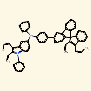 C=CC1=C(/C=C\C)c2ccccc2C12c1ccccc1-c1cc(-c3ccc(N(c4ccccc4)c4ccc5c(c4)c(/C=C\C)c(C=C)n5-c4ccccc4)cc3)ccc12